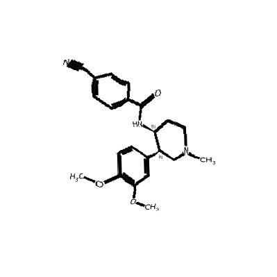 COc1ccc([C@@H]2CN(C)CC[C@@H]2NC(=O)c2ccc(C#N)cc2)cc1OC